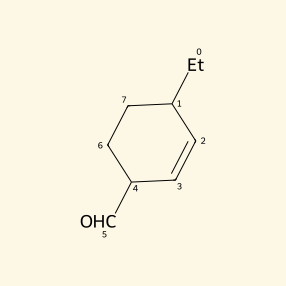 CCC1C=CC(C=O)CC1